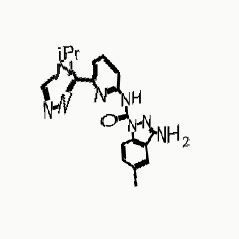 Cc1ccc2c(c1)c(N)nn2C(=O)Nc1cccc(-c2nncn2C(C)C)n1